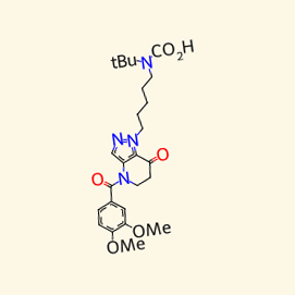 COc1ccc(C(=O)N2CCC(=O)c3c2cnn3CCCCCN(C(=O)O)C(C)(C)C)cc1OC